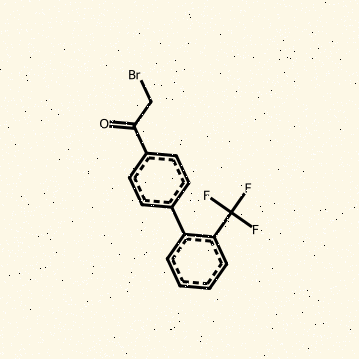 O=C(CBr)c1ccc(-c2ccccc2C(F)(F)F)cc1